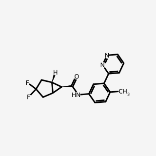 Cc1ccc(NC(=O)[C@H]2C3CC(F)(F)C[C@@H]32)cc1-c1cccnn1